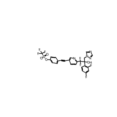 O=S(=O)(Oc1ccc(C#Cc2ccc(C(F)(F)C(O)(Cn3cncn3)c3ccc(F)cc3F)nc2)cc1)C(F)(F)F